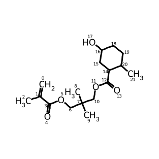 C=C(C)C(=O)OCC(C)(C)COC(=O)C1CC(O)CCC1C